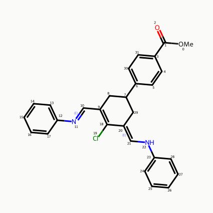 COC(=O)c1ccc(C2CC(/C=N/c3ccccc3)=C(Cl)C(=C/Nc3ccccc3)/C2)cc1